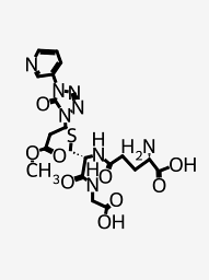 COC(=O)CC(SC[C@H](NC(=O)CC[C@H](N)C(=O)O)C(=O)NCC(=O)O)n1nnn(-c2cccnc2)c1=O